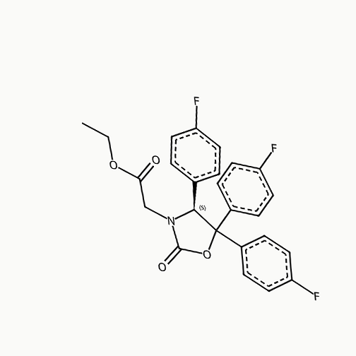 CCOC(=O)CN1C(=O)OC(c2ccc(F)cc2)(c2ccc(F)cc2)[C@@H]1c1ccc(F)cc1